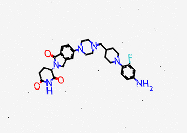 Nc1ccc(N2CCC(CN3CCN(c4ccc5c(c4)CN([C@H]4CCC(=O)NC4=O)C5=O)CC3)CC2)c(F)c1